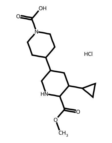 COC(=O)C1NCC(C2CCN(C(=O)O)CC2)CC1C1CC1.Cl